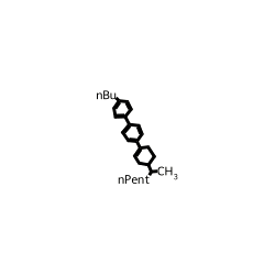 CCCCCC(C)C1CC=C(c2ccc(-c3ccc(CCCC)cc3)cc2)CC1